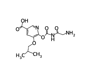 CC(C)COc1cc(C(=O)O)cnc1OC(=O)NC(=O)CN